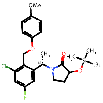 COc1ccc(OCc2c(Cl)cc(F)cc2[C@H](C)N2CCC(O[Si](C)(C)C(C)(C)C)C2=O)cc1